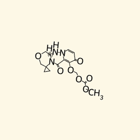 COC(=O)OCOc1c2n(ccc1=O)N[C@@H]1COCC3(CC3)N1C2=O